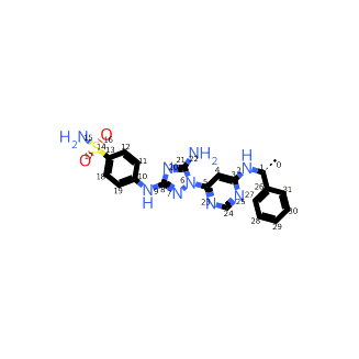 C[C@@H](Nc1cc(-n2nc(Nc3ccc(S(N)(=O)=O)cc3)nc2N)ncn1)c1ccccc1